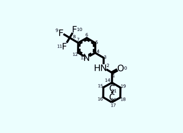 O=C(NCc1ccc(C(F)(F)F)cn1)C12CCC(CC1)CC2